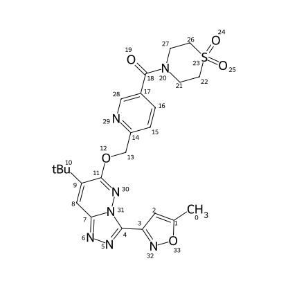 Cc1cc(-c2nnc3cc(C(C)(C)C)c(OCc4ccc(C(=O)N5CCS(=O)(=O)CC5)cn4)nn23)no1